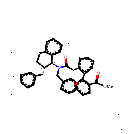 COC(=O)c1ccccc1-c1ccccc1CC(=O)N(Cc1ccccc1)[C@@H]1c2ccccc2CC[C@H]1Cc1ccccc1